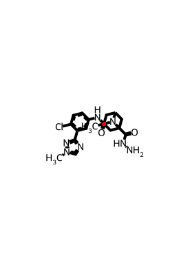 CC1CC2CC(C(=O)NN)(C1)N2C(=O)Nc1ccc(Cl)c(-c2ncn(C)n2)c1